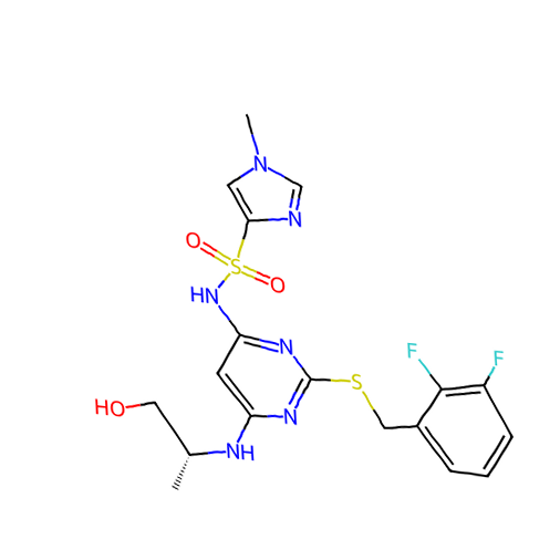 C[C@H](CO)Nc1cc(NS(=O)(=O)c2cn(C)cn2)nc(SCc2cccc(F)c2F)n1